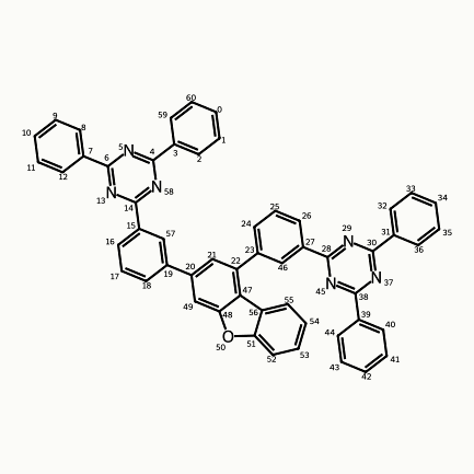 c1ccc(-c2nc(-c3ccccc3)nc(-c3cccc(-c4cc(-c5cccc(-c6nc(-c7ccccc7)nc(-c7ccccc7)n6)c5)c5c(c4)oc4ccccc45)c3)n2)cc1